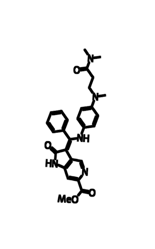 COC(=O)c1cc2c(cn1)/C(=C(\Nc1ccc(N(C)CCC(=O)N(C)C)cc1)c1ccccc1)C(=O)N2